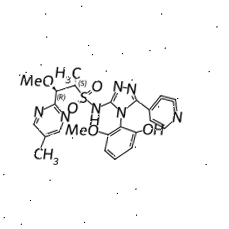 COc1cccc(O)c1-n1c(NS(=O)(=O)[C@@H](C)[C@H](OC)c2ncc(C)cn2)nnc1C1=C=C=NC=C1